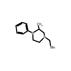 CC1CN(CC(C)(C)C)CCN1c1ccccc1